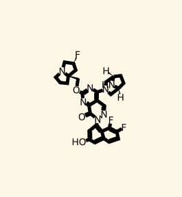 O=c1c2nc(OC[C@@]34CCCN3C[C@H](F)C4)nc(N3C[C@H]4CC[C@@H](C3)N4)c2cnn1-c1cc(O)cc2ccc(F)c(F)c12